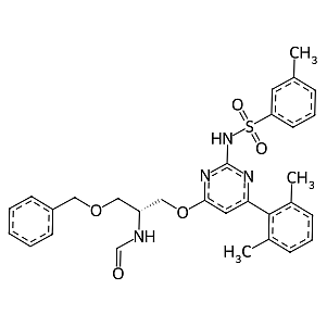 Cc1cccc(S(=O)(=O)Nc2nc(OC[C@@H](COCc3ccccc3)NC=O)cc(-c3c(C)cccc3C)n2)c1